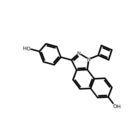 Oc1ccc(-c2nn(C3=CC=C3)c3c2ccc2cc(O)ccc23)cc1